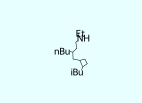 CCCCC(CCNCC)CC1CCC1C(C)CC